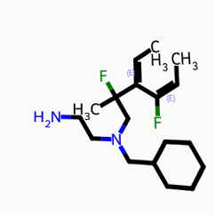 C/C=C(F)\C(=C/C)C(C)(F)CN(CCN)CC1CCCCC1